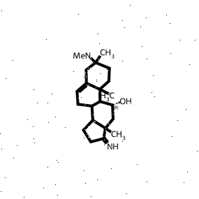 CNC1(C)CCC2(C)C(=CCC3C4CCC(=N)C4(C)C[C@@H](O)C32)C1